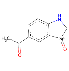 CC(=O)c1ccc2c(c1)[Se](=O)CN2